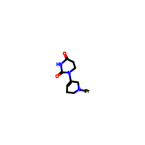 CC(C)N1CCC=C(N2CCC(=O)NC2=O)C1